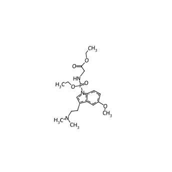 CCOC(=O)CNP(=O)(OCC)n1cc(CCN(C)C)c2cc(OC)ccc21